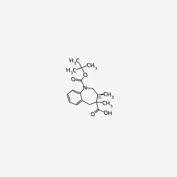 C[C@@H]1CN(C(=O)OC(C)(C)C)c2ccccc2CC1(C)C(=O)O